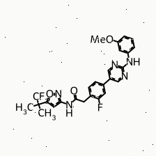 COc1cccc(Nc2ncc(-c3ccc(CC(=O)Nc4cc(C(C)(C)C(F)(F)F)on4)c(F)c3)cn2)c1